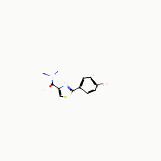 CN(C)C(=O)c1csc(-c2ccc(Br)cc2)n1